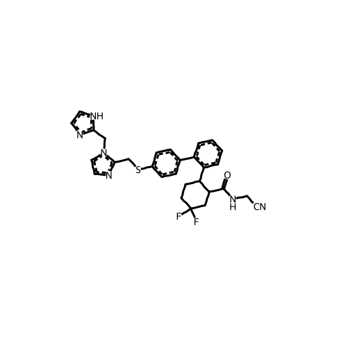 N#CCNC(=O)C1CC(F)(F)CCC1c1ccccc1-c1ccc(SCc2nccn2Cc2ncc[nH]2)cc1